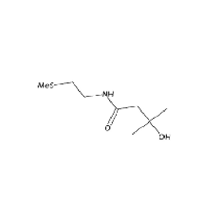 CSCCNC(=O)CC(C)(C)O